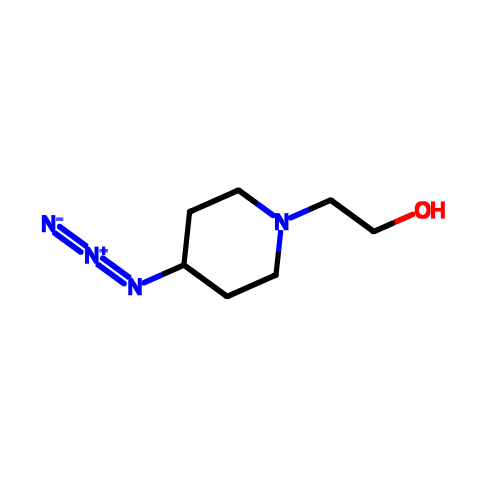 [N-]=[N+]=NC1CCN(CCO)CC1